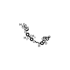 COC(=O)c1nccc(Oc2ccc(C(C)(C)c3ccc(OCCCNc4ccc5c(c4)C(=O)N(C4CCC(=O)NC4=O)C5=O)cc3)cc2)n1